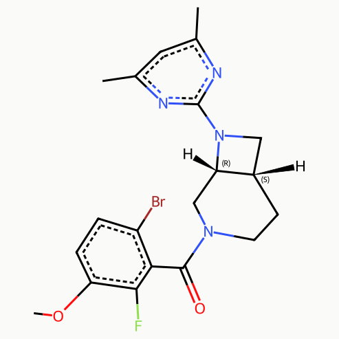 COc1ccc(Br)c(C(=O)N2CC[C@H]3CN(c4nc(C)cc(C)n4)[C@H]3C2)c1F